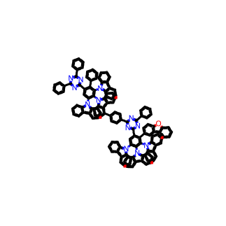 c1ccc(-c2nc(-c3ccc(-c4cccc5c4c4ccccc4n5-c4c(-n5c6ccccc6c6ccccc65)cc(-c5nc(-c6ccccc6)nc(-c6ccccc6)n5)c(-c5ccccc5)c4-n4c5ccccc5c5ccccc54)cc3)nc(-c3cc(-n4c5ccccc5c5ccccc54)c(-n4c5ccccc5c5ccccc54)c(-n4c5ccccc5c5ccccc54)c3-c3ccc4oc5ccccc5c4c3)n2)cc1